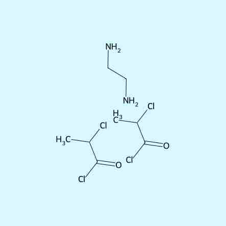 CC(Cl)C(=O)Cl.CC(Cl)C(=O)Cl.NCCN